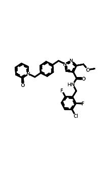 COCc1nn(Cc2ccc(Cn3ccccc3=O)cc2)cc1C(=O)NCc1c(F)ccc(Cl)c1F